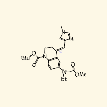 CCN(C(=O)OC)c1ccc2c(c1)/C(=C/c1cn(C)cn1)CCN2C(=O)OC(C)(C)C